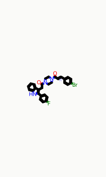 O=C(/C=C/c1ccc(Br)cc1)N1CCN(C(=O)Cc2c(-c3ccc(F)cc3)[nH]c3ccccc23)CC1